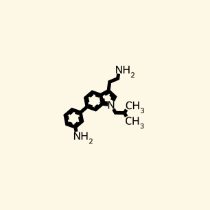 CC(C)Cn1cc(CCN)c2ccc(-c3cccc(N)c3)cc21